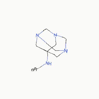 CCCNC12CN3CN(CN(C3)C1)C2